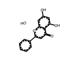 Cl.O=c1cc(-c2ccccc2)oc2cc(O)cc(O)c12